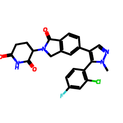 Cn1ncc(-c2ccc3c(c2)CN(C2CCC(=O)NC2=O)C3=O)c1-c1ccc(F)cc1Cl